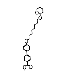 COC(=O)c1ccc(-c2ccc(OCCCCCCCCOC3CCCCO3)cc2)cc1